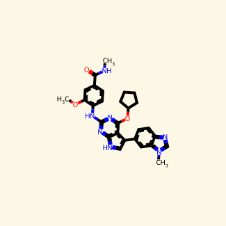 CNC(=O)c1ccc(Nc2nc(OC3CCCC3)c3c(-c4ccc5ncn(C)c5c4)c[nH]c3n2)c(OC)c1